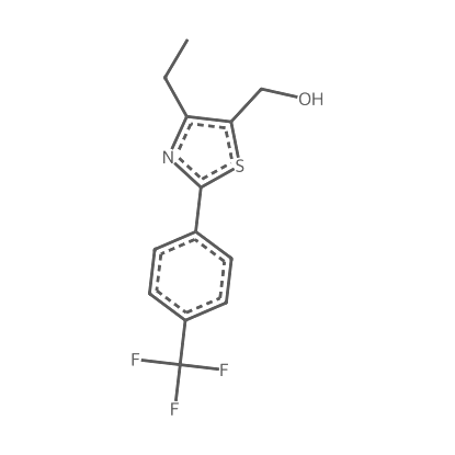 CCc1nc(-c2ccc(C(F)(F)F)cc2)sc1CO